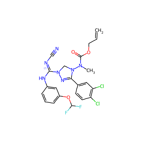 C=CCOC(=O)N(C)N1CN(/C(=N\C#N)Nc2cccc(OC(F)F)c2)N=C1c1ccc(Cl)c(Cl)c1